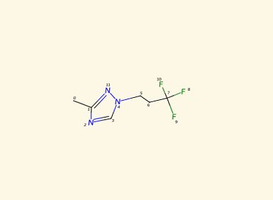 Cc1ncn(CCC(F)(F)F)n1